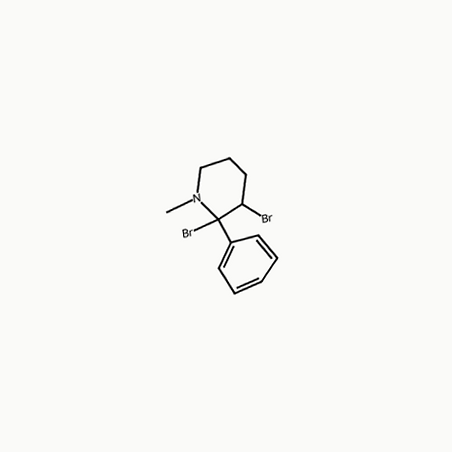 CN1CCCC(Br)C1(Br)c1ccccc1